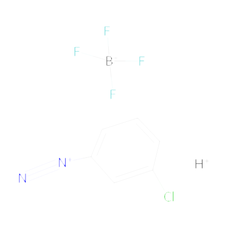 F[B-](F)(F)F.N#[N+]c1cccc(Cl)c1.[H+]